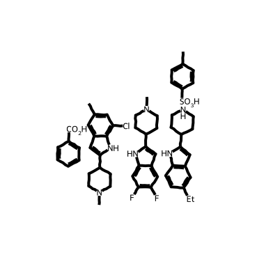 CCc1ccc2[nH]c(C3CCNCC3)cc2c1.CN1CCC(c2cc3cc(F)c(F)cc3[nH]2)CC1.Cc1cc(Cl)c2[nH]c(C3CCN(C)CC3)cc2c1.Cc1ccc(S(=O)(=O)O)cc1.O=C(O)c1ccccc1